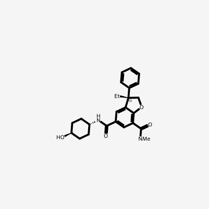 CC[C@@]1(c2ccccc2)COc2c(C(=O)NC)cc(C(=O)N[C@H]3CC[C@H](O)CC3)cc21